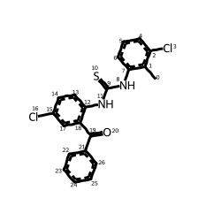 Cc1c(Cl)cccc1NC(=S)Nc1ccc(Cl)cc1C(=O)c1ccccc1